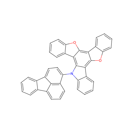 c1ccc2c(c1)-c1cccc3c(-n4c5ccccc5c5c6oc7ccccc7c6c6oc7ccccc7c6c54)ccc-2c13